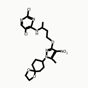 Cc1c([N+](=O)[O-])c(OCCC(C)Nc2nc(Cl)ncc2Cl)nn1C1CCC2(CC1)OCCO2